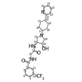 O=C(CNC(=O)c1cccc(C(F)(F)F)c1)N[C@H]1CN(C2CCC(c3ccccn3)CC2)CC1O